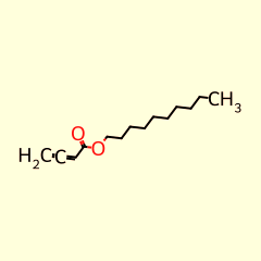 C=C=CC(=O)OCCCCCCCCCC